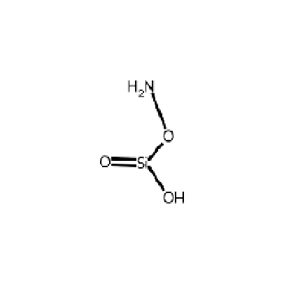 NO[Si](=O)O